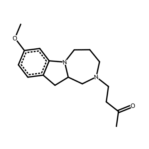 COc1ccc2c(c1)N1CCCN(CCC(C)=O)CC1C2